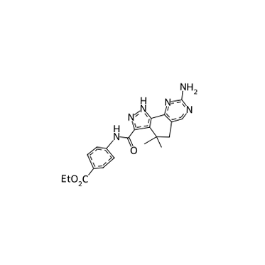 CCOC(=O)c1ccc(NC(=O)c2n[nH]c3c2C(C)(C)Cc2cnc(N)nc2-3)cc1